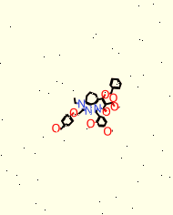 CCn1c(COc2ccc(C=O)cc2)nc2c1CCCc1c(OCc3ccccc3)c(C(=O)OC)c(=O)n(Cc3ccc(OC)cc3OC)c1-2